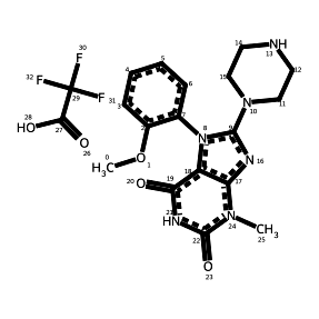 COc1ccccc1-n1c(N2CCNCC2)nc2c1c(=O)[nH]c(=O)n2C.O=C(O)C(F)(F)F